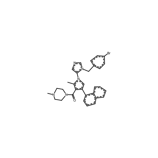 Cc1c(C(=O)N2CCN(C)CC2)c(-c2cccc3ccccc23)cn1-c1cncn1Cc1ccc(Br)cc1